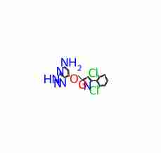 Nc1cc(OCc2cc(-c3c(Cl)cccc3Cl)no2)c2nn[nH]c2n1